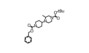 CC1CN(C(=O)OC(C)(C)C)CCN1C1CCN(C(=O)OCc2ccccc2)CC1